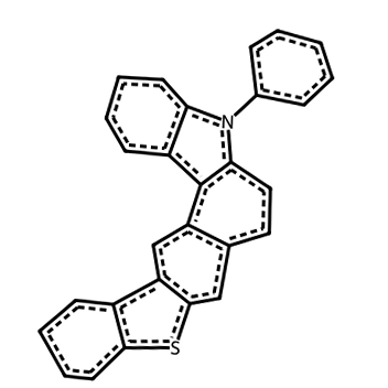 c1ccc(-n2c3ccccc3c3c4cc5c(cc4ccc32)sc2ccccc25)cc1